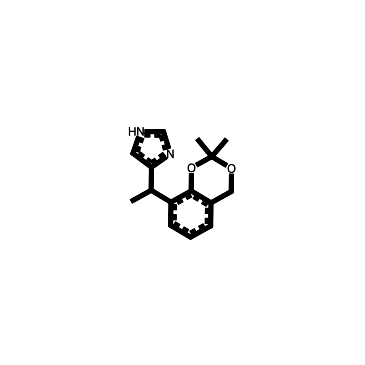 CC(c1c[nH]cn1)c1cccc2c1OC(C)(C)OC2